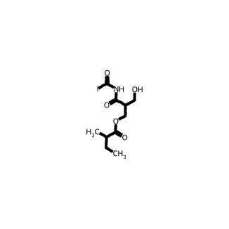 CCC(C)C(=O)OCC(CO)C(=O)NC(=O)I